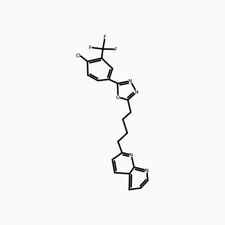 FC(F)(F)c1cc(-c2nnc(CCCCc3ccc4cccnc4n3)o2)ccc1Cl